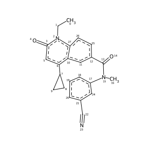 CCn1c(=O)cc(C2CC2)c2cc(C(=O)N(C)c3cccc(C#N)c3)ccc21